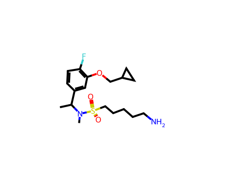 CC(c1ccc(F)c(OCC2CC2)c1)N(C)S(=O)(=O)CCCCCN